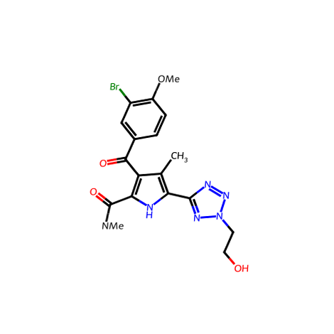 CNC(=O)c1[nH]c(-c2nnn(CCO)n2)c(C)c1C(=O)c1ccc(OC)c(Br)c1